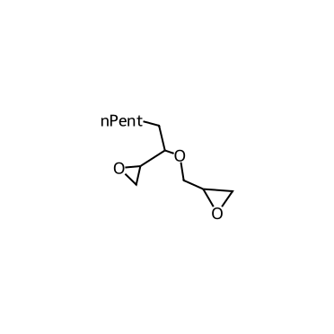 CCCCCCC(OCC1CO1)C1CO1